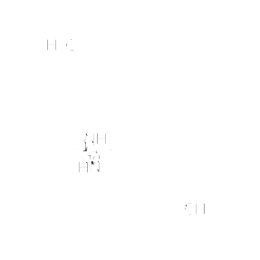 CCCCCCCCCCCCCCCCCCNC(=O)/C=C\C(=O)OC(N)CCCCCCCCCCCCCCCCC